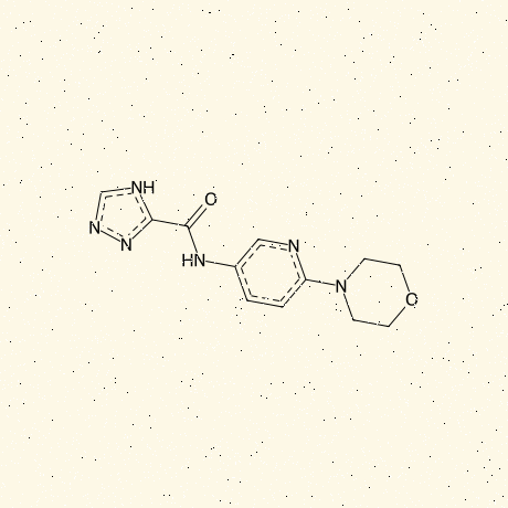 O=C(Nc1ccc(N2CCOCC2)nc1)c1nnc[nH]1